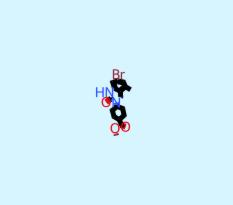 COC(=O)C1CCC(N2Cc3c(C)cc(Br)cc3NC2=O)CC1